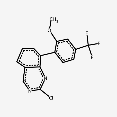 COc1cc(C(F)(F)F)ccc1-c1cccc2cnc(Cl)nc12